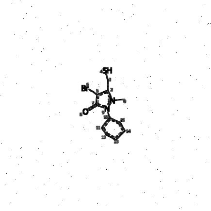 Cn1c(CS)c(Br)c(=O)n1-c1ccccc1